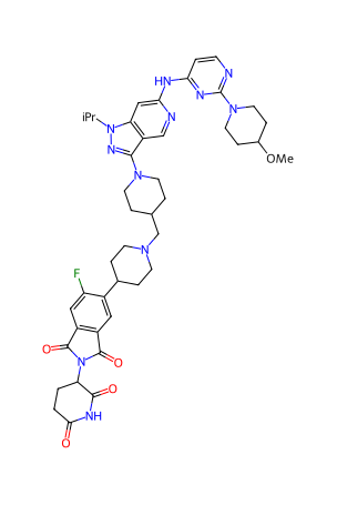 COC1CCN(c2nccc(Nc3cc4c(cn3)c(N3CCC(CN5CCC(c6cc7c(cc6F)C(=O)N(C6CCC(=O)NC6=O)C7=O)CC5)CC3)nn4C(C)C)n2)CC1